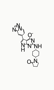 COc1nc(N[C@H]2CC[C@@H](N3CCCC3=O)CC2)nc2[nH]cc(-c3ccn4ncnc4c3)c12